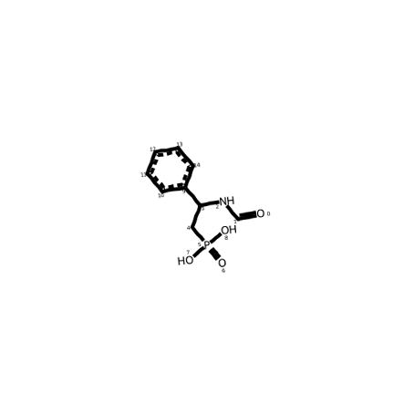 O=CNC(CP(=O)(O)O)c1ccccc1